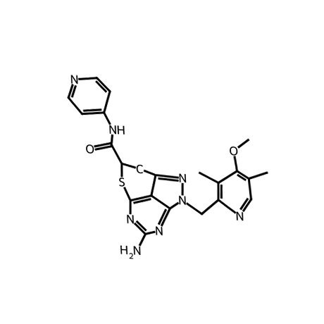 COc1c(C)cnc(Cn2nc3c4c(nc(N)nc42)SC(C(=O)Nc2ccncc2)C3)c1C